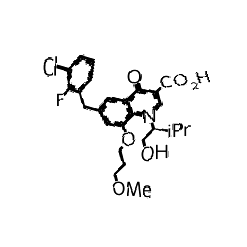 COCCCOc1cc(Cc2cccc(Cl)c2F)cc2c(=O)c(C(=O)O)cn([C@H](CO)C(C)C)c12